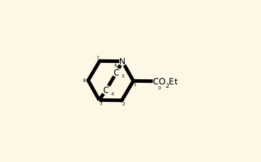 CCOC(=O)C1CC2CCN1CC2